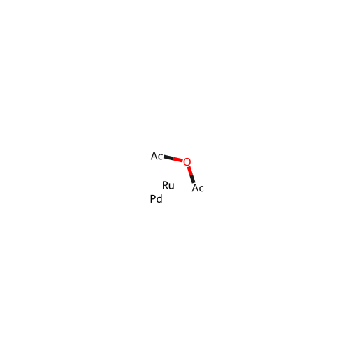 CC(=O)OC(C)=O.[Pd].[Ru]